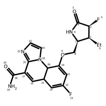 CC[C@@H]1[C@H](F)C(=O)N[C@@H]1COC1=CC(F)=CC2C=C(C(N)=O)c3nccn3C12